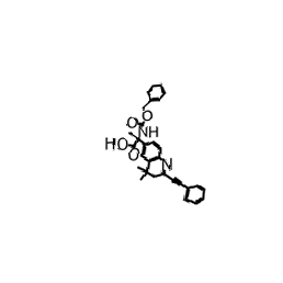 CC1(C)CC(C#Cc2ccccc2)=Nc2ccc(C(C)(NC(=O)OCc3ccccc3)C(=O)O)cc21